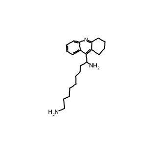 NCCCCCCCCC(N)c1c2c(nc3ccccc13)CCCC2